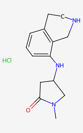 CN1CC(Nc2cccc3c2CNCC3)CC1=O.Cl